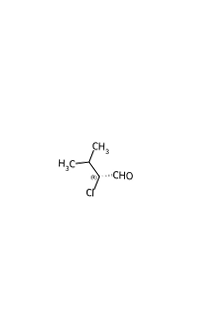 CC(C)[C@@H](Cl)C=O